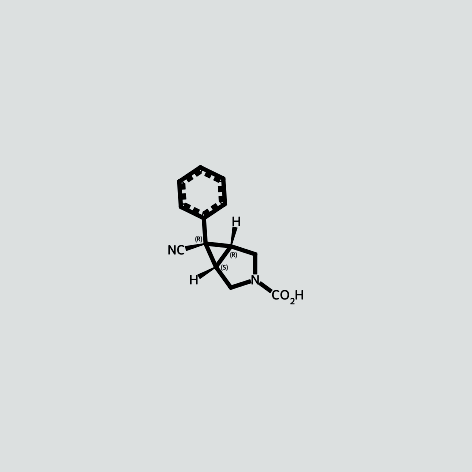 N#C[C@@]1(c2ccccc2)[C@@H]2CN(C(=O)O)C[C@@H]21